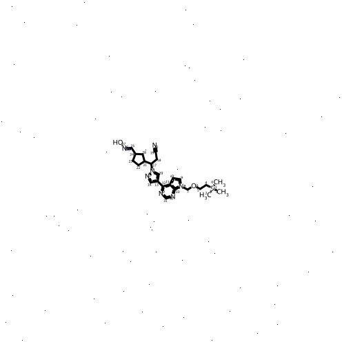 C[Si](C)(C)CCOCn1ccc2c(-c3cnn(C(CC#N)C4CCC(/C=N/O)C4)c3)ncnc21